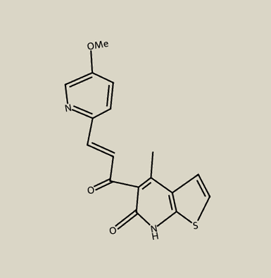 COc1ccc(C=CC(=O)c2c(C)c3ccsc3[nH]c2=O)nc1